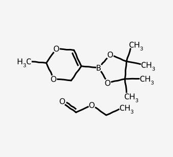 CC1OC=C(B2OC(C)(C)C(C)(C)O2)CO1.CCOC=O